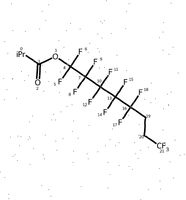 CC(C)C(=O)OC(F)(F)C(F)(F)C(F)(F)C(F)(F)C(F)(F)CCC(F)(F)F